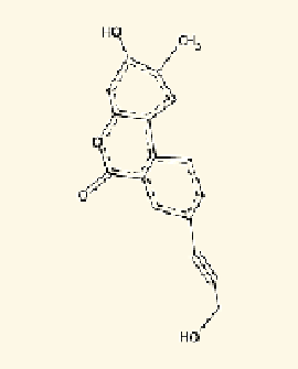 Cc1cc2c(cc1O)oc(=O)c1cc(C#CCO)ccc12